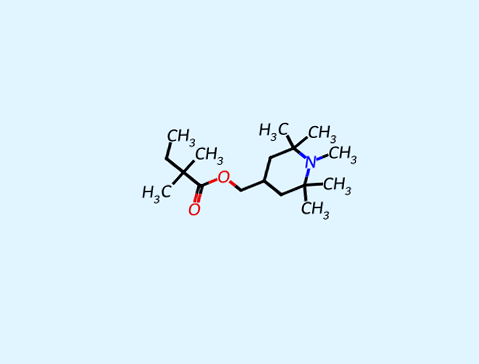 CCC(C)(C)C(=O)OCC1CC(C)(C)N(C)C(C)(C)C1